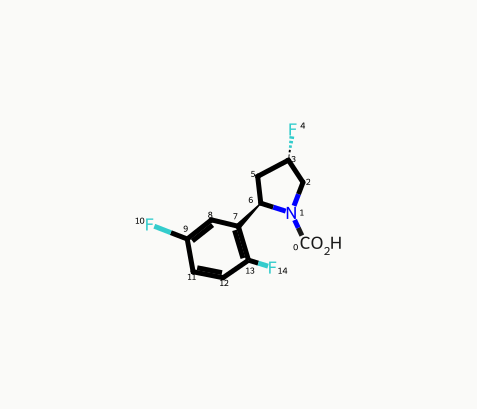 O=C(O)N1C[C@@H](F)C[C@@H]1c1cc(F)ccc1F